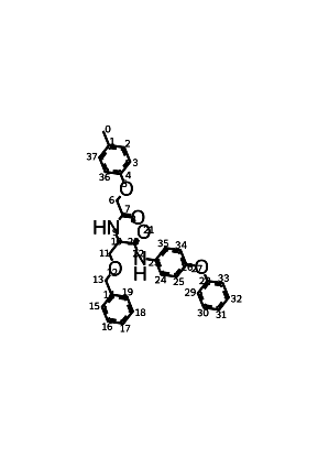 Cc1ccc(OCC(=O)NC(COCc2ccccc2)C(=O)Nc2ccc(Oc3ccccc3)cc2)cc1